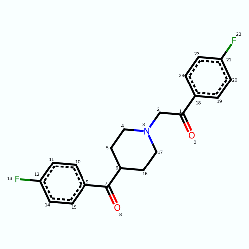 O=C(CN1CCC(C(=O)c2ccc(F)cc2)CC1)c1ccc(F)cc1